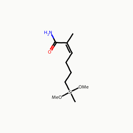 CO[Si](C)(CCCC=C(C)C(N)=O)OC